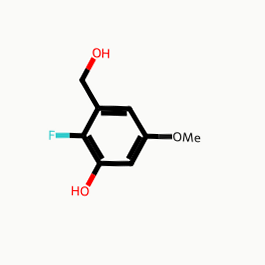 COc1cc(O)c(F)c(CO)c1